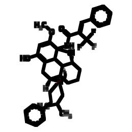 COC1=CC(O)=C2C[C@@H]3[C@@H]4CCC[C@@H]5OC1(NC(=O)C(=Cc1ccccc1)C(F)(F)F)C2[C@@]54CC[N+]3(CCc1ccccc1)CC(C)C